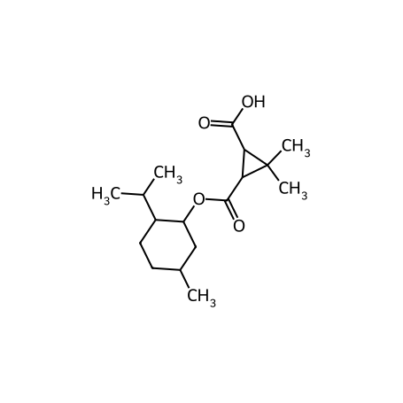 CC1CCC(C(C)C)C(OC(=O)C2C(C(=O)O)C2(C)C)C1